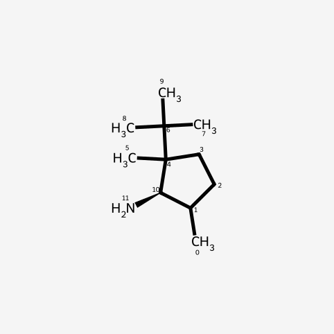 CC1CCC(C)(C(C)(C)C)[C@@H]1N